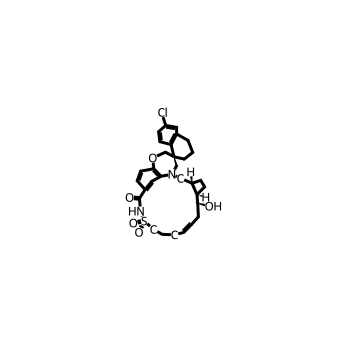 O=C1NS(=O)(=O)CCC/C=C\C[C@H](O)[C@@H]2CC[C@H]2CN2C[C@@]3(CCCc4cc(Cl)ccc43)COc3ccc1cc32